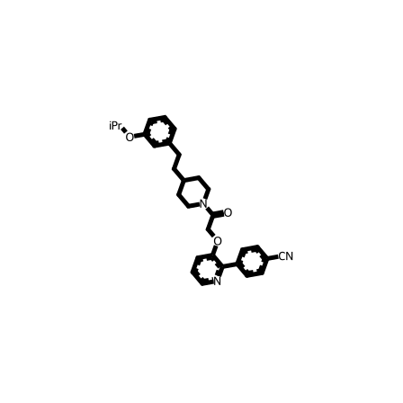 CC(C)Oc1cccc(CCC2CCN(C(=O)COc3cccnc3-c3ccc(C#N)cc3)CC2)c1